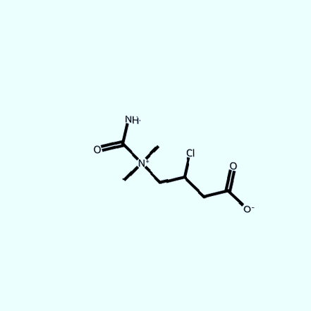 C[N+](C)(CC(Cl)CC(=O)[O-])C([NH])=O